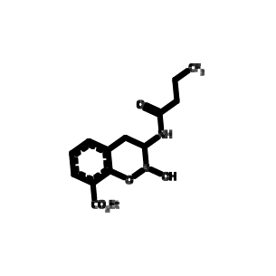 CCOC(=O)c1cccc2c1OB(O)C(NC(=O)CCC(F)(F)F)C2